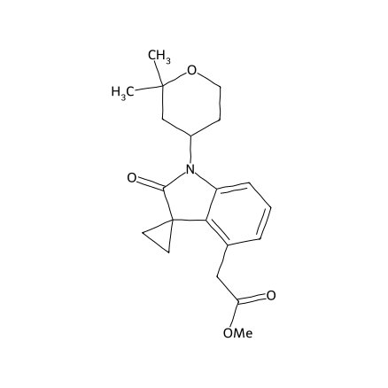 COC(=O)Cc1cccc2c1C1(CC1)C(=O)N2C1CCOC(C)(C)C1